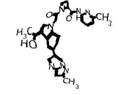 Cc1cccc(NC(=O)[C@@H]2CCN2C(=O)Cn2cc(C(C)O)c3cc(-c4cnc5cc(C)nn5c4)ccc32)n1